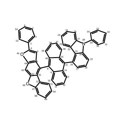 c1ccc(-c2cc3c(-c4c5ccccc5c(-c5cccc6c5c5ccccc5n6-c5ccccc5)c5ccccc45)c4c(cc3o2)oc2ccccc24)cc1